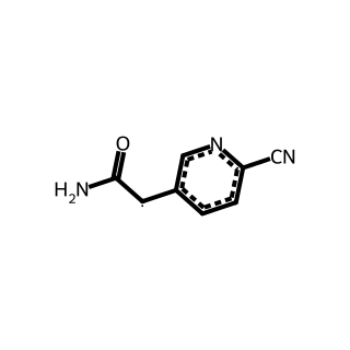 N#Cc1ccc([CH]C(N)=O)cn1